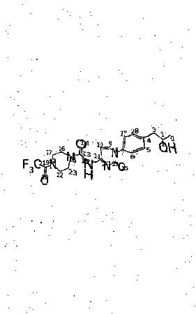 CC(O)Cc1ccc(-n2ccc(NC(=O)N3CCN(C(=O)C(F)(F)F)CC3)nc2=O)cc1